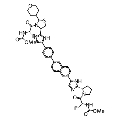 COC(=O)N[C@H](C(=O)N1CCC[C@H]1c1ncc(-c2ccc3cc(-c4ccc(-c5cnc([C@@H]6CSC(C7CCOCC7)N6C(=O)[C@@H](NC(=O)OC)C(C)C)[nH]5)cc4)ccc3c2)[nH]1)C(C)C